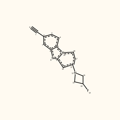 C#Cc1ccc2c(c1)nc1cc(N3CC(F)C3)ccn12